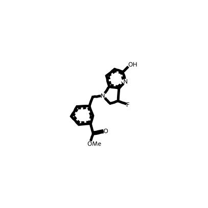 COC(=O)c1cccc(CN2CC(F)c3nc(O)ccc32)c1